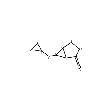 O=C1CCC2C(CC3CC3)C12